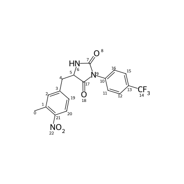 Cc1cc(CC2NC(=O)N(c3ccc(C(F)(F)F)cc3)C2=O)ccc1[N+](=O)[O-]